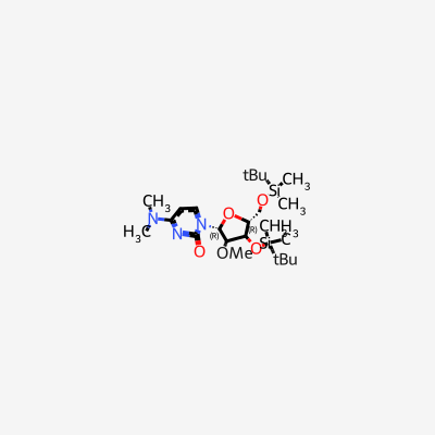 COC1C(O[Si](C)(C)C(C)(C)C)[C@@H](CO[Si](C)(C)C(C)(C)C)O[C@H]1n1ccc(N(C)C)nc1=O